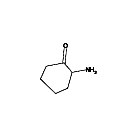 NC1CCCCC1=O